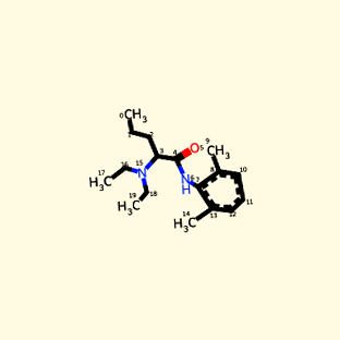 CCCC(C(=O)Nc1c(C)cccc1C)N(CC)CC